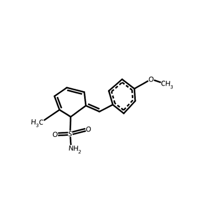 COc1ccc(/C=C2\C=CC=C(C)C2S(N)(=O)=O)cc1